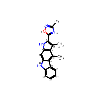 CCc1noc(-c2[nH]c3cc4[nH]c5ccccc5c4c(C)c3c2C)n1